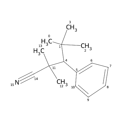 CC(C)(C)C(c1ccccc1)C(C)(C)C#N